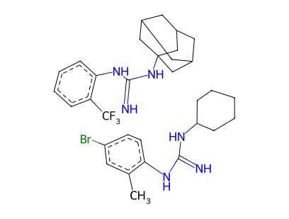 Cc1cc(Br)ccc1NC(=N)NC1CCCCC1.N=C(Nc1ccccc1C(F)(F)F)NC12CC3CC(CC(C3)C1)C2